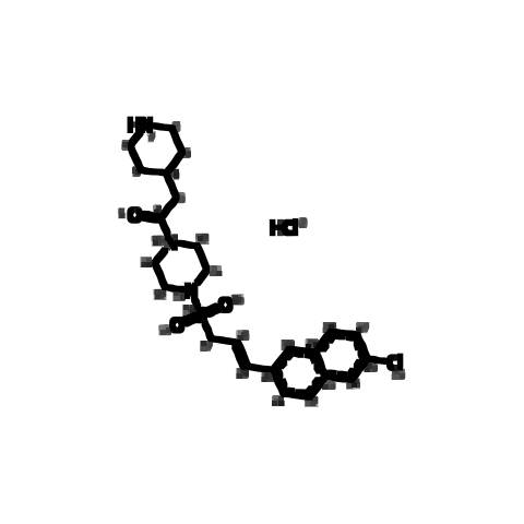 Cl.O=C(CC1CCNCC1)N1CCN(S(=O)(=O)CC=Cc2ccc3cc(Cl)ccc3c2)CC1